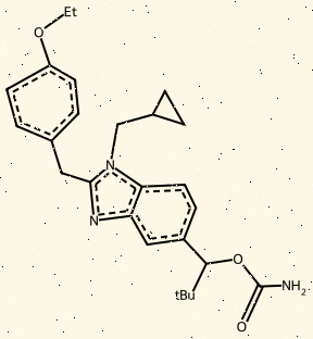 CCOc1ccc(Cc2nc3cc(C(OC(N)=O)C(C)(C)C)ccc3n2CC2CC2)cc1